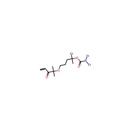 C=CC(=O)C(C)(C)OCCCC(C)(CC)OC(=O)N(CC)CC